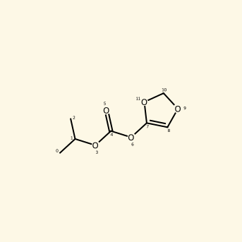 CC(C)OC(=O)OC1=COCO1